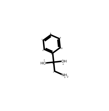 NCC(O)(O)c1ccccc1